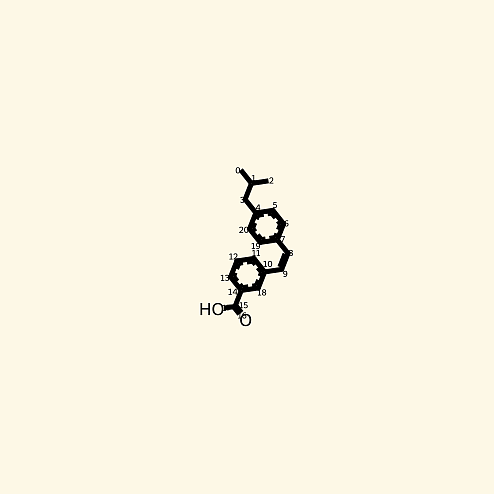 CC(C)Cc1ccc(/C=C\c2cccc(C(=O)O)c2)cc1